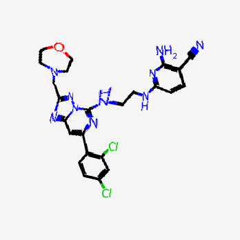 N#Cc1ccc(NCCNc2nc(-c3ccc(Cl)cc3Cl)cc3nc(CN4CCOCC4)nn23)nc1N